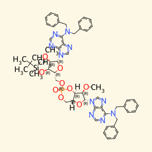 CO[C@@H]1[C@H](O[Si](C)(C)C(C)(C)C)[C@@H](CO[P@]2(=O)OC[C@H]3O[C@@H](n4cnc5c(N(Cc6ccccc6)Cc6ccccc6)ncnc54)[C@H](OC)[C@@H]3O2)O[C@H]1n1cnc2c(N(Cc3ccccc3)Cc3ccccc3)ncnc21